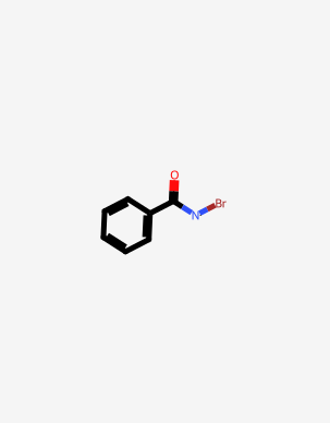 O=C([N]Br)c1ccccc1